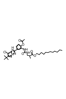 CCCCCCCCCCCCOC(=O)C(C)CNC(=O)Nc1cc(-c2nn3nc(C(C)(C)C)c(Cl)c3[nH]2)ccc1OC(C)=O